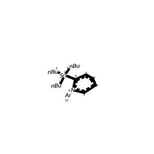 CCC[CH2][Sn]([CH2]CCC)([CH2]CCC)[c]1ccccn1.[Ar]